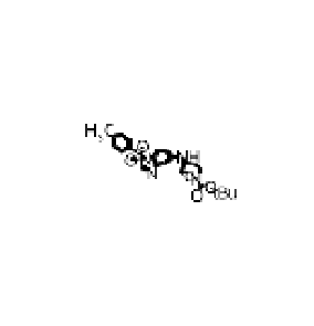 Cc1ccc(S(=O)(=O)n2cnc3cc(NC4CCN(C(=O)OC(C)(C)C)CC4)ccc32)cc1